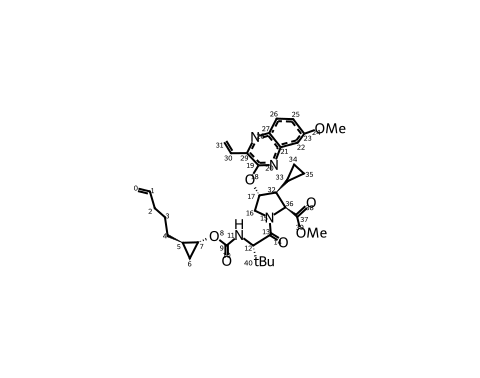 C=CCCC[C@@H]1C[C@H]1OC(=O)N[C@H](C(=O)N1C[C@H](Oc2nc3cc(OC)ccc3nc2C=C)[C@@H](C2CC2)[C@H]1C(=O)OC)C(C)(C)C